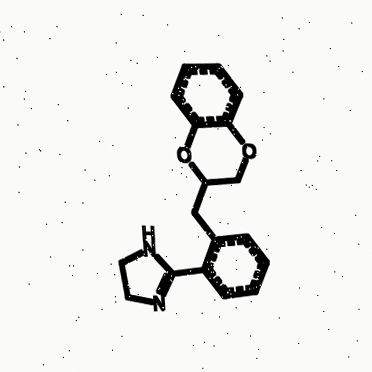 c1ccc(C2=NCCN2)c(CC2COc3ccccc3O2)c1